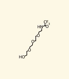 O=C(NCCOCCOCCOCCO)C(F)(F)F